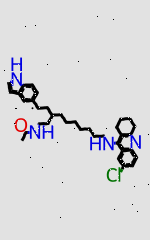 CC(=O)NCCC(C[CH]c1ccc2[nH]ccc2c1)CCCCCCCNc1c2c(nc3ccc(Cl)cc13)CCCC2